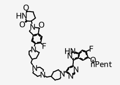 CCCCCOc1cc2c(-c3cc(N4CCC(CN5CCN(CC6CCN(c7cc8c(cc7F)C(=O)N(C7CCC(=O)NC7=O)C8)CC6)CC5)CC4)ncn3)n[nH]c2cc1F